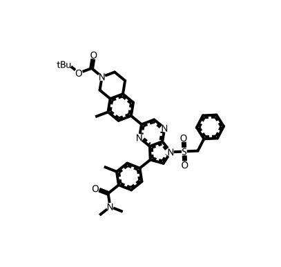 Cc1cc(-c2cn(S(=O)(=O)Cc3ccccc3)c3ncc(-c4cc(C)c5c(c4)CCN(C(=O)OC(C)(C)C)C5)nc23)ccc1C(=O)N(C)C